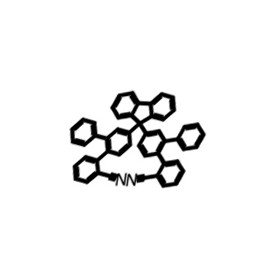 N#Cc1ccccc1-c1ccc(C2(c3ccc(-c4ccccc4C#N)c(-c4ccccc4)c3)c3ccccc3-c3ccccc32)cc1-c1ccccc1